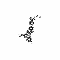 CO[C@H](C)C(=O)N1CCN(c2ccc(NC(=O)Nc3cc(C(C)(C)C)nn3-c3ccc(C)cc3)cc2)CC1